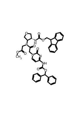 COC(=O)CN(C(=O)Cn1ccc(NC(=O)OC(c2ccccc2)c2ccccc2)nc1=O)C1COC[C@@H]1NC(=O)OCC1c2ccccc2-c2ccccc21